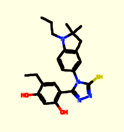 CCCN1c2ccc(-n3c(S)nnc3-c3cc(CC)c(O)cc3O)cc2CC1(C)C